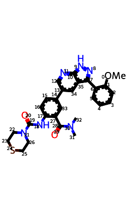 COc1ccccc1-c1n[nH]c2ncc(-c3ccc(NC(=O)N4CCSCC4)c(C(=O)N(C)C)c3)cc12